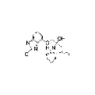 CCC(CC(N)(O)COc1cccc2c1=NC(=O)N=2)c1ccccc1